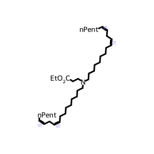 CCCCC/C=C\C/C=C\CCCCCCCCN(CCCCCCCC/C=C\C/C=C\CCCCC)CCC(=O)OCC